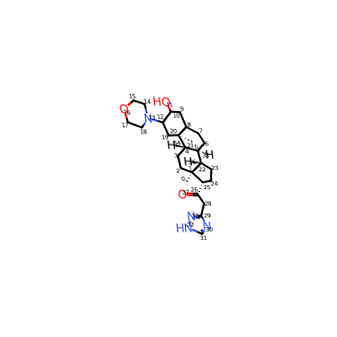 C[C@]12CC[C@H]3[C@@H](CCC4CC(O)C(N5CCOCC5)C[C@@]43C)[C@@H]1CC[C@@H]2C(=O)Cc1nc[nH]n1